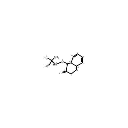 CCCC(C)(C)NOC1C(=O)CCC2C=CC=CC21